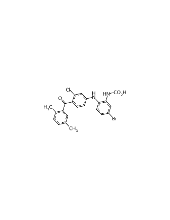 Cc1ccc(C)c(C(=O)c2ccc(Nc3ccc(Br)cc3NC(=O)O)cc2Cl)c1